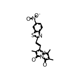 Cc1c(C)n2c(/C=C/c3nc4ccc([N+](=O)[O-])cc4s3)c(C)c(=O)n2c1=O